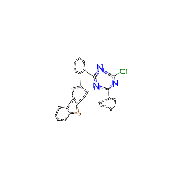 Clc1nc(-c2ccccc2)nc(-c2ccccc2-c2ccc3sc4ccccc4c3c2)n1